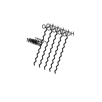 CCCCCCCCCCCCCCCCCC(=O)O.CCCCCCCCCCCCCCCCCC(=O)O.CCCCCCCCCCCCCCCCCC(=O)O.CCCCCCCCCCCCCCCCCC(=O)O.CCCCCCCCCCCCCCCCCC(=O)O.[Mg+2].[Mg+2].[Mg+2].[Mg+2].[Mg+2].[Mg+2]